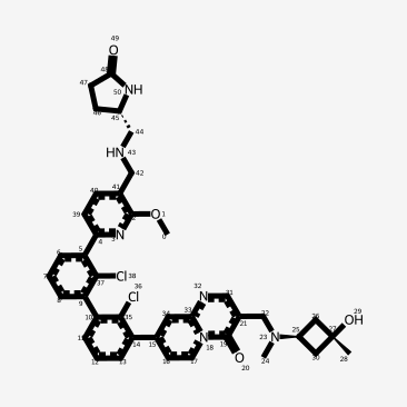 COc1nc(-c2cccc(-c3cccc(-c4ccn5c(=O)c(CN(C)[C@H]6C[C@](C)(O)C6)cnc5c4)c3Cl)c2Cl)ccc1CNC[C@@H]1CCC(=O)N1